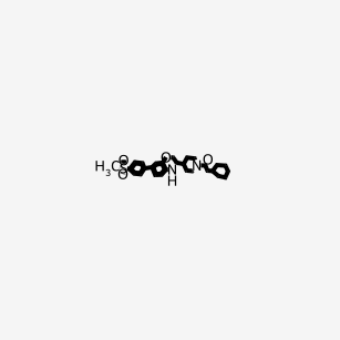 CS(=O)(=O)c1ccc(-c2ccc3c(c2)OCC(C2CCN(C(=O)CC4CCCCC4)CC2)N3)cc1